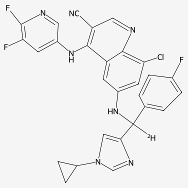 [2H]C(Nc1cc(Cl)c2ncc(C#N)c(Nc3cnc(F)c(F)c3)c2c1)(c1ccc(F)cc1)c1cn(C2CC2)cn1